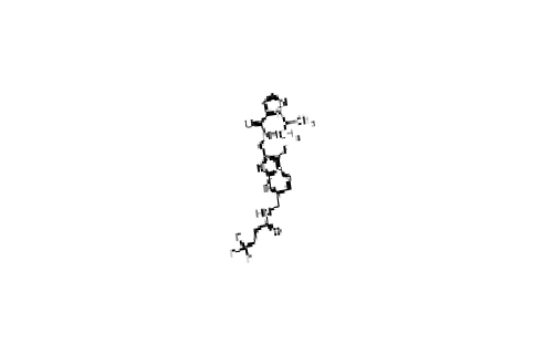 CC(C)n1nccc1C(=O)NCc1nc2nc(CNC(=O)CCC(F)(F)F)ccn2c1F